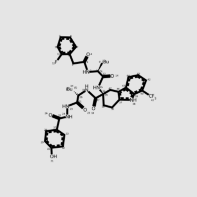 CCC(C)[C@H](NC(=O)Cc1ccccc1F)C(=O)N[C@]1(C(=O)NC(C(=O)NNC(=O)c2ccc(O)cc2)[C@@H](C)CC)CCc2[nH]c3c(C(F)(F)F)cccc3c2C1